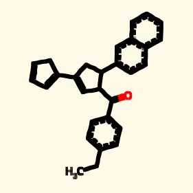 CCc1ccc(C(=O)C2C=C(C3=CC=CC3)CC2c2ccc3ccccc3c2)cc1